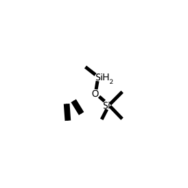 C=C.C=C.C[SiH2]O[Si](C)(C)C